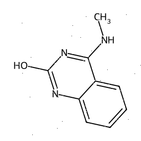 CNc1nc(O)nc2ccccc12